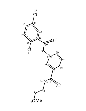 COCCNC(=O)C1=CN(CC(=O)c2cc(Cl)ccc2Cl)C=CC1